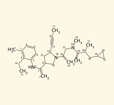 C=C(Nc1cccc(C)c1CC)C1CC(C#CC)N(C(=C)CN(C)C(=C)C(C)CC2CC2)C1